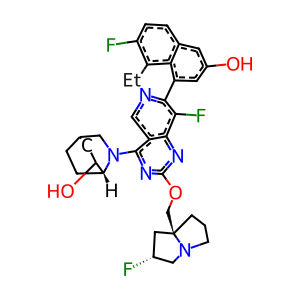 CCc1c(F)ccc2cc(O)cc(-c3ncc4c(N5CC6CC[C@@H]5C(O)C6)nc(OC[C@@]56CCCN5C[C@H](F)C6)nc4c3F)c12